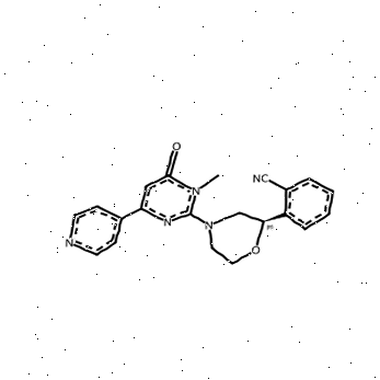 Cn1c(N2CCO[C@H](c3ccccc3C#N)C2)nc(-c2ccncc2)cc1=O